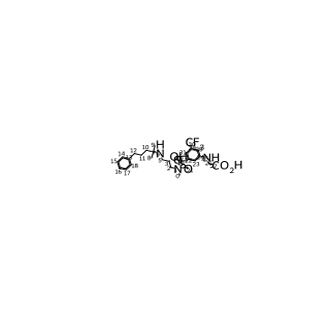 CN(CC(O)CNC(C)(C)CCCc1ccccc1)S(=O)(=O)c1cc(NCC(=O)O)cc(C(F)(F)F)c1